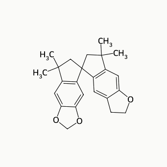 CC1(C)CC2(CC(C)(C)c3cc4c(cc32)OCO4)c2cc3c(cc21)OCC3